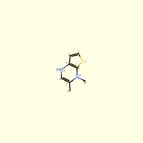 CC1=CNc2ccsc2N1C